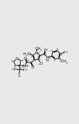 Cc1cc(NC(=O)c2c(Cl)c(C(=O)C(=O)NC3(C(F)(F)F)CCOC3)c(C)n2C)ccc1F